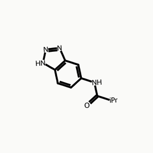 CC(C)C(=O)Nc1ccc2[nH]nnc2c1